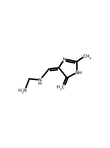 C=c1[nH]c(C)n/c1=C/NCN